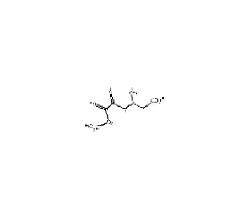 O=C(O)CC(O)CC(=O)C(=O)OC(=O)O